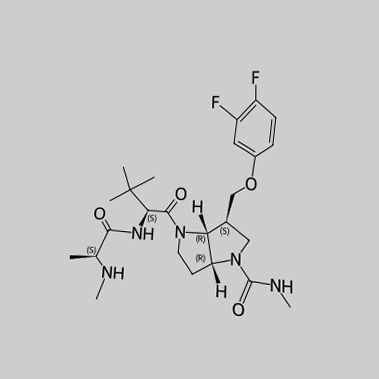 CNC(=O)N1C[C@H](COc2ccc(F)c(F)c2)[C@@H]2[C@H]1CCN2C(=O)[C@@H](NC(=O)[C@H](C)NC)C(C)(C)C